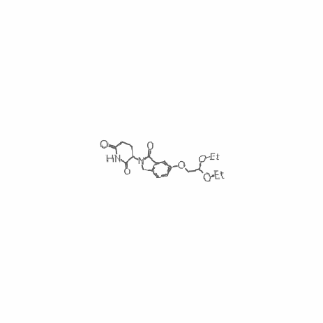 CCOC(COc1ccc2c(c1)C(=O)N(C1CCC(=O)NC1=O)C2)OCC